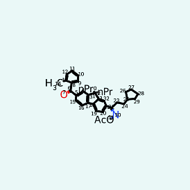 CCCC1(CCC)c2cc(C(=O)c3ccccc3C)ccc2-c2ccc(/C(CCC3CCCC3)=N\OC(C)=O)cc21